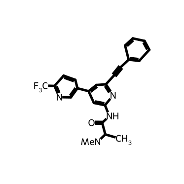 CNC(C)C(=O)Nc1cc(-c2ccc(C(F)(F)F)nc2)cc(C#Cc2ccccc2)n1